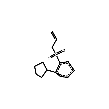 C=CCS(=O)(=O)c1ccccc1C1CCCC1